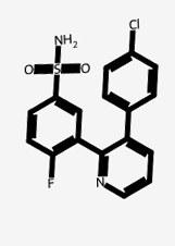 NS(=O)(=O)c1ccc(F)c(-c2ncccc2-c2ccc(Cl)cc2)c1